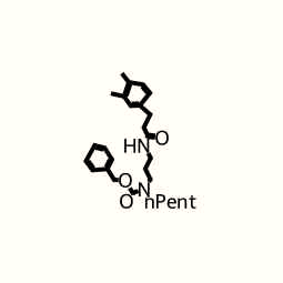 CCCCCN(CCCNC(=O)CCc1ccc(C)c(C)c1)C(=O)OCc1ccccc1